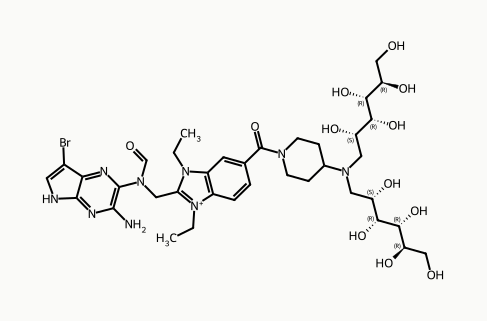 CCn1c(CN(C=O)c2nc3c(Br)c[nH]c3nc2N)[n+](CC)c2ccc(C(=O)N3CCC(N(C[C@H](O)[C@@H](O)[C@H](O)[C@H](O)CO)C[C@H](O)[C@@H](O)[C@H](O)[C@H](O)CO)CC3)cc21